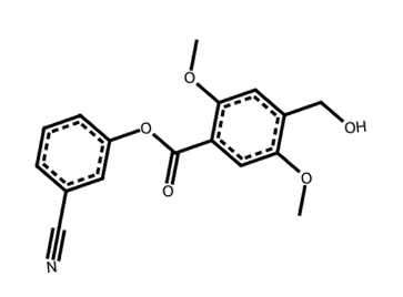 COc1cc(C(=O)Oc2cccc(C#N)c2)c(OC)cc1CO